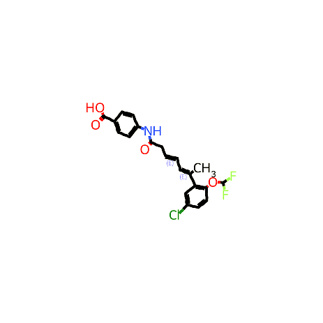 C/C(=C\C=C\CC(=O)Nc1ccc(C(=O)O)cc1)c1cc(Cl)ccc1OC(F)F